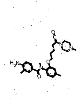 Cc1ccc(N(C)C(=O)c2ccc(N)c(C)c2)c(OCCCCC(=C=O)N2CCN(C)CC2)c1